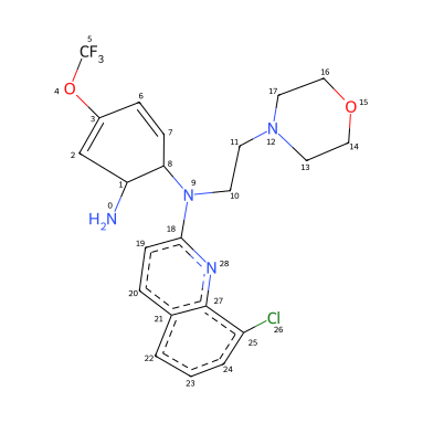 NC1C=C(OC(F)(F)F)C=CC1N(CCN1CCOCC1)c1ccc2cccc(Cl)c2n1